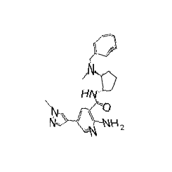 CN(Cc1ccccc1)[C@H]1CCC[C@@H]1NC(=O)c1cc(-c2cnn(C)c2)cnc1N